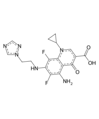 Nc1c(F)c(NCCn2cncn2)c(F)c2c1c(=O)c(C(=O)O)cn2C1CC1